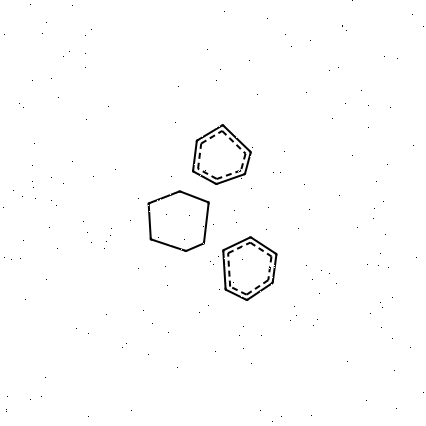 C1CCCCC1.c1ccccc1.c1ccccc1